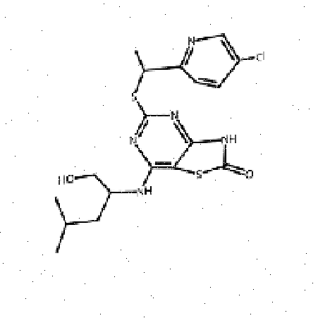 CC(C)CC(CO)Nc1nc(SC(C)c2ccc(Cl)cn2)nc2[nH]c(=O)sc12